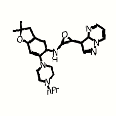 CCCN1CCN(C2=CC3OC(C)(C)CC3CC2NC2OC2C2C=NN3C=CC=NC23)CC1